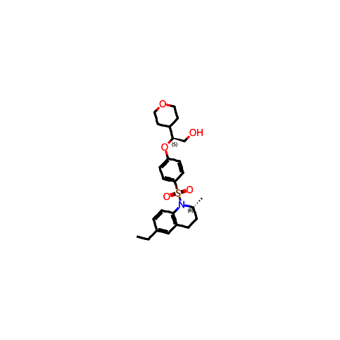 CCc1ccc2c(c1)CC[C@@H](C)N2S(=O)(=O)c1ccc(O[C@H](CO)C2CCOCC2)cc1